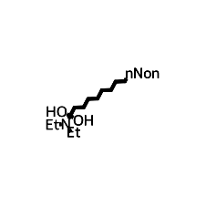 CCCCCCCCCCCCCCCCCC(O)(O)N(CC)CC